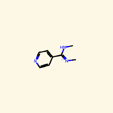 C/N=C(\NC)c1ccncc1